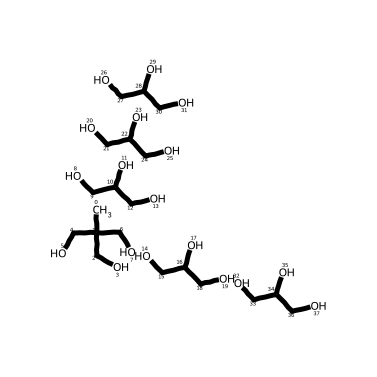 CC(CO)(CO)CO.OCC(O)CO.OCC(O)CO.OCC(O)CO.OCC(O)CO.OCC(O)CO